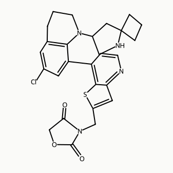 O=C1COC(=O)N1Cc1cc2nccc(-c3cc(Cl)cc4c3N(C3CNC5(CCC5)C3)CCC4)c2s1